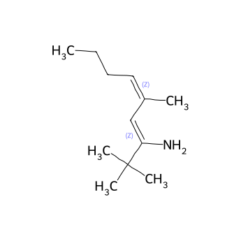 CCC/C=C(C)\C=C(/N)C(C)(C)C